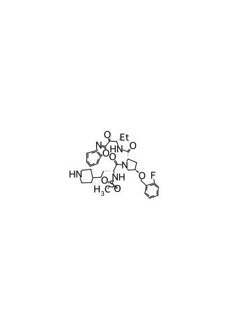 CC[C@H](NC(=O)[C@@H]1C[C@@H](OCc2ccccc2F)CN1C(=O)[C@@H](CCC1CCNCC1)NS(C)(=O)=O)C(=O)c1nc2ccccc2o1